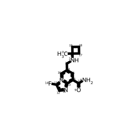 CC1(NCc2cc(C(N)=O)c3ncc(F)n3c2)CCC1